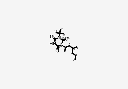 CCCC(C)CC(C)n1c(=O)[nH]c(=O)n(C(C)(C)C)c1=O